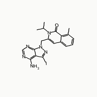 Cc1cccc2cc(Cn3nc(I)c4c(N)ncnc43)n(C(C)C)c(=O)c12